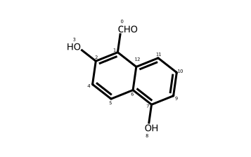 O=Cc1c(O)ccc2c(O)cccc12